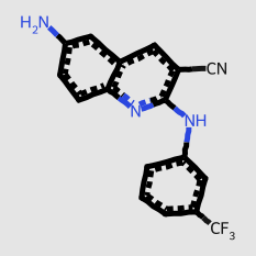 N#Cc1cc2cc(N)ccc2nc1Nc1cccc(C(F)(F)F)c1